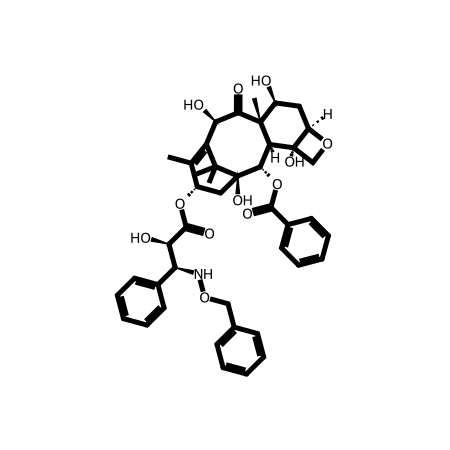 CC1=C2[C@@H](O)C(=O)[C@@]3(C)[C@H]([C@H](OC(=O)c4ccccc4)[C@](O)(C[C@@H]1OC(=O)[C@H](O)[C@@H](NOCc1ccccc1)c1ccccc1)C2(C)C)[C@]1(O)CO[C@@H]1C[C@@H]3O